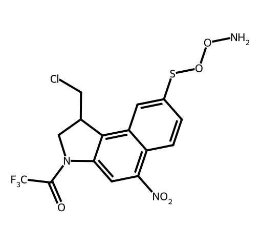 NOOSc1ccc2c([N+](=O)[O-])cc3c(c2c1)C(CCl)CN3C(=O)C(F)(F)F